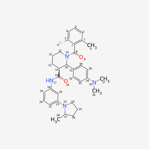 Cc1cccc(F)c1C(=O)N1CCC[C@H](C(=O)Nc2cccc(N3CCCC3C)c2)C1c1ccc(N(C)C)cc1